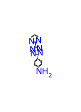 Nc1ccc(-c2nnc(-c3ncccn3)nn2)cc1